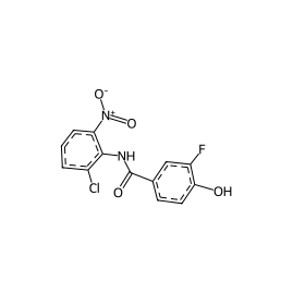 O=C(Nc1c(Cl)cccc1[N+](=O)[O-])c1ccc(O)c(F)c1